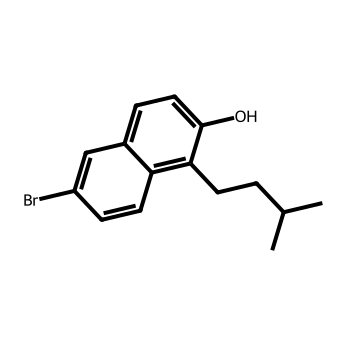 CC(C)CCc1c(O)ccc2cc(Br)ccc12